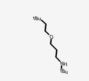 CC(C)(C)CCOCCCNC(C)(C)C